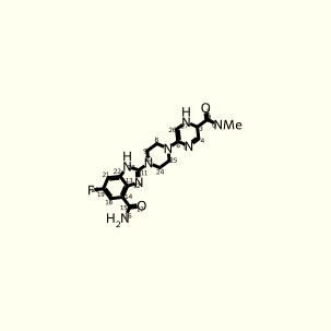 CNC(=O)C1C=NC(N2CCN(c3nc4c(C(N)=O)cc(F)cc4[nH]3)CC2)=CN1